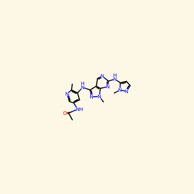 CC(=O)Nc1cnc(C)c(Nc2nn(C)c3nc(Nc4ccnn4C)ncc23)c1